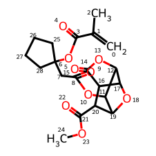 C=C(C)C(=O)OC1(CC(=O)OC2C3OC(=O)C4C3OC2C4C(=O)OC)CCCC1